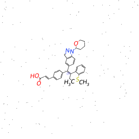 CC/C(=C(\c1ccc(C=CC(=O)O)cc1)c1ccc2c(cnn2C2CCCCO2)c1)c1ccccc1SC